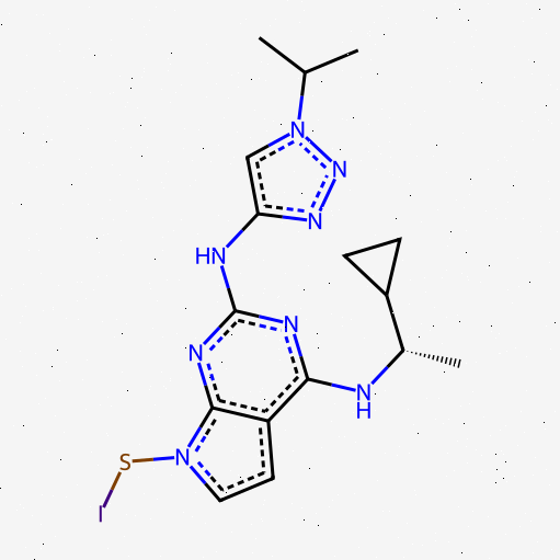 CC(C)n1cc(Nc2nc(N[C@@H](C)C3CC3)c3ccn(SI)c3n2)nn1